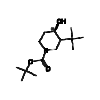 CC(C)(C)OC(=O)N1CC[C@@H](O)C(C(C)(C)C)C1